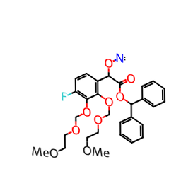 COCCOCOc1c(F)ccc(C(O[N])C(=O)OC(c2ccccc2)c2ccccc2)c1OCOCCOC